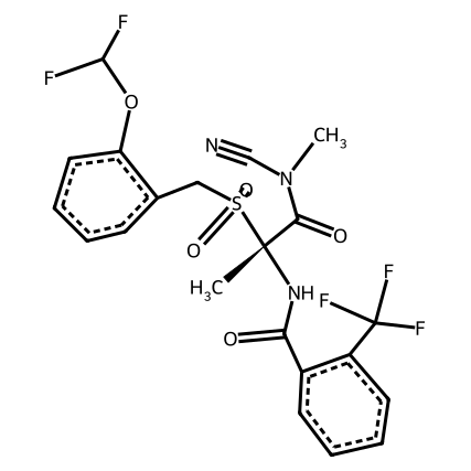 CN(C#N)C(=O)[C@](C)(NC(=O)c1ccccc1C(F)(F)F)S(=O)(=O)Cc1ccccc1OC(F)F